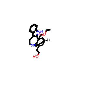 CCOC(=O)C12C[C@@H]3CC(CCO)C1N(CCc1c2[nH]c2ccccc12)C3